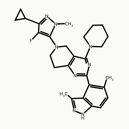 Cc1ccc2[nH]nc(C)c2c1-c1nc2c(c(N3CCCCC3)n1)CN(c1c(F)c(C3CC3)nn1C)CC2